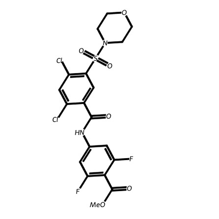 COC(=O)c1c(F)cc(NC(=O)c2cc(S(=O)(=O)N3CCOCC3)c(Cl)cc2Cl)cc1F